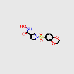 O=C(NO)C1=CCN(S(=O)(=O)c2ccc3c(c2)OCCO3)C1